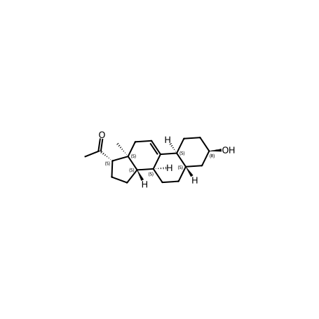 CC(=O)[C@H]1CC[C@H]2[C@@H]3CC[C@H]4C[C@H](O)CC[C@@H]4C3=CC[C@]12C